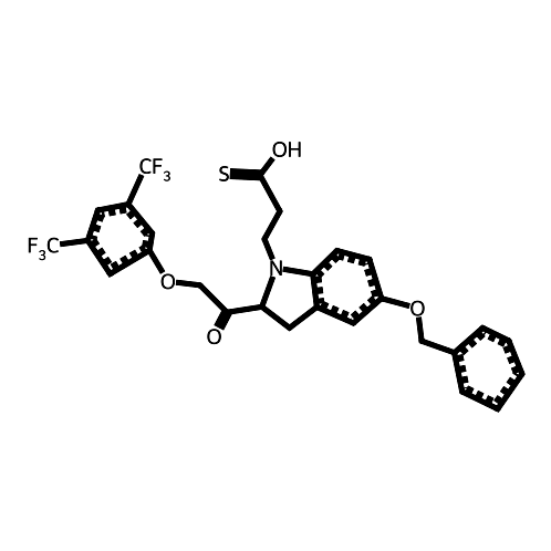 O=C(COc1cc(C(F)(F)F)cc(C(F)(F)F)c1)C1Cc2cc(OCc3ccccc3)ccc2N1CCC(O)=S